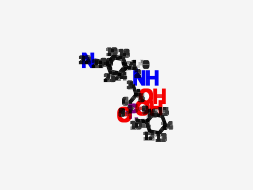 C[C@H](NC[C@H](O)CP(=O)(O)CC1CCCCC1)c1ccc(C#N)cc1